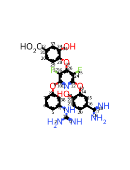 N=C(N)Nc1cccc(Oc2nc(Oc3cc(C(=N)N)ccc3O)c(F)c(Oc3ccc(C(=O)O)cc3O)c2F)c1